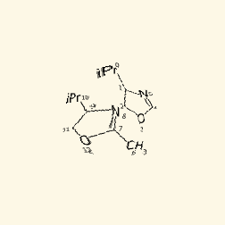 CC(C)C1COC=N1.CC1=NC(C(C)C)CO1